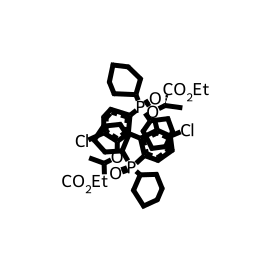 CCOC(=O)C(C)Oc1c(Cl)ccc(P(=O)(C2CCCCC2)C2CCCCC2)c1-c1c(P(=O)(C2CCCCC2)C2CCCCC2)ccc(Cl)c1O[C@@H](C)C(=O)OCC